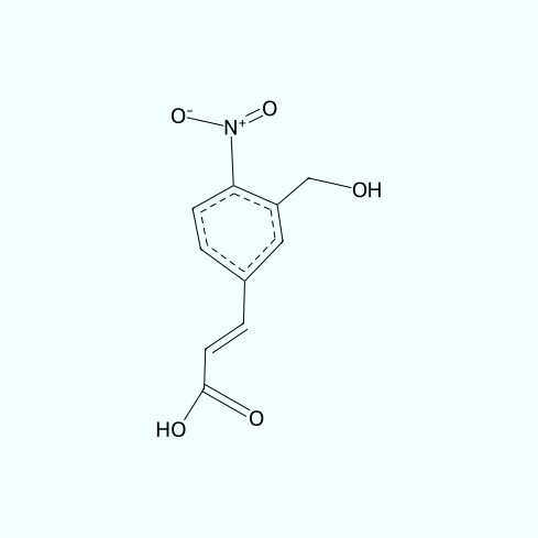 O=C(O)C=Cc1ccc([N+](=O)[O-])c(CO)c1